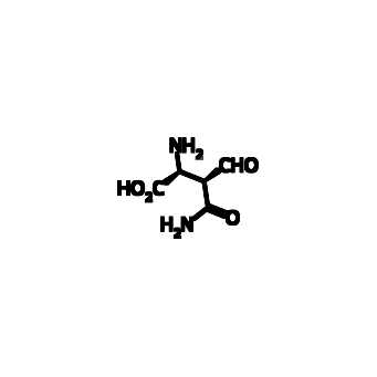 NC(=O)[C@H](C=O)[C@H](N)C(=O)O